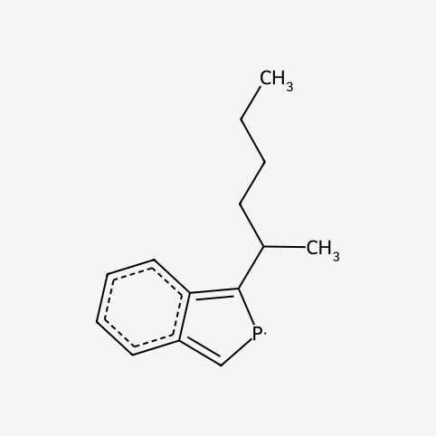 CCCCC(C)C1=c2ccccc2=C[P]1